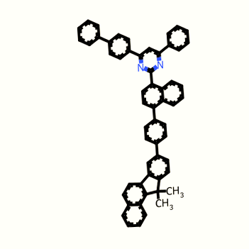 CC1(C)c2ccc(-c3ccc(-c4ccc(-c5nc(-c6ccccc6)cc(-c6ccc(-c7ccccc7)cc6)n5)c5ccccc45)cc3)cc2-c2ccc3ccccc3c21